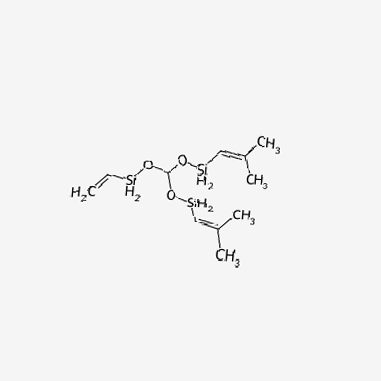 C=C[SiH2]OC(O[SiH2]C=C(C)C)O[SiH2]C=C(C)C